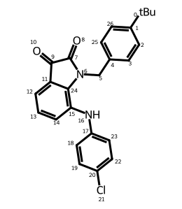 CC(C)(C)c1ccc(CN2C(=O)C(=O)c3cccc(Nc4ccc(Cl)cc4)c32)cc1